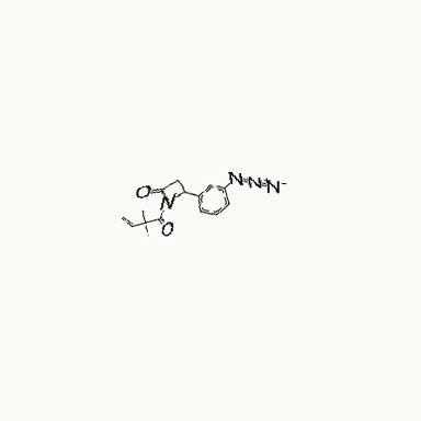 C=CC(C)(C)C(=O)N1C(=O)CC1c1cccc(N=[N+]=[N-])c1